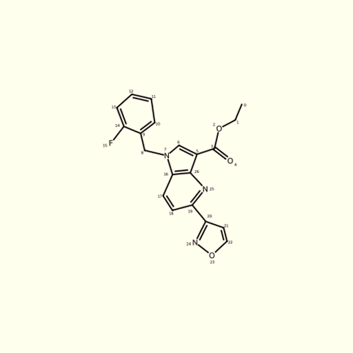 CCOC(=O)c1cn(Cc2ccccc2F)c2ccc(-c3ccon3)nc12